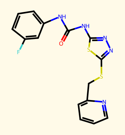 O=C(Nc1cccc(F)c1)Nc1nnc(SCc2ccccn2)s1